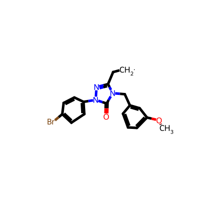 [CH2]Cc1nn(-c2ccc(Br)cc2)c(=O)n1Cc1cccc(OC)c1